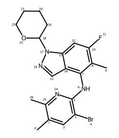 Cc1cc(Br)c(Nc2c(C)c(F)cc3c2cnn3C2CCCCO2)nc1C